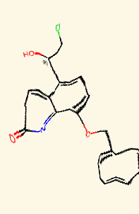 O=C1CC=c2c([C@@H](O)CCl)ccc(OCc3ccccc3)c2=N1